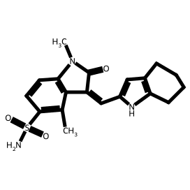 Cc1c(S(N)(=O)=O)ccc2c1C(=Cc1cc3c([nH]1)CCCC3)C(=O)N2C